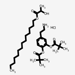 CC(C)(C)C(=O)Oc1ccc(CCN)cc1OC(=O)C(C)(C)C.CCCCCCCCCCCCCCOC(=O)C(C)O.Cl